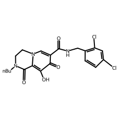 CCCCN1CCn2cc(C(=O)NCc3ccc(Cl)cc3Cl)c(=O)c(O)c2C1=O